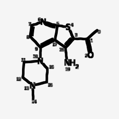 CC(=O)c1sc2nccc(N3CCN(C)CC3)c2c1N